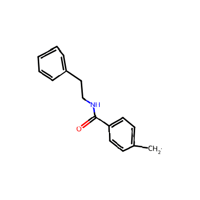 [CH2]c1ccc(C(=O)NCCc2ccccc2)cc1